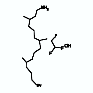 CC(C)CCCC(C)CCCC(C)CCCC(C)CCN.Cl.FCC(F)F